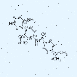 CN(C)c1ccc(C(=O)Nc2ccc(C3=C(N)C=CNC3)c3c2OCO3)cc1